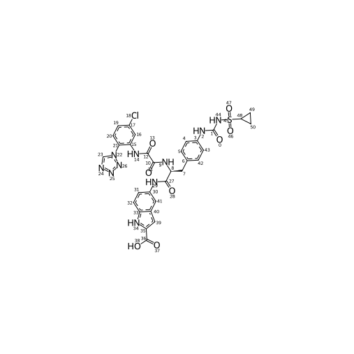 O=C(Nc1ccc(C[C@H](NC(=O)C(=O)Nc2cc(Cl)ccc2-n2cnnn2)C(=O)Nc2ccc3[nH]c(C(=O)O)cc3c2)cc1)NS(=O)(=O)C1CC1